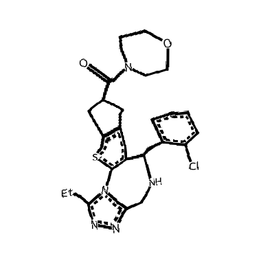 CCc1nnc2n1-c1sc3c(c1C(c1ccccc1Cl)NC2)CC(C(=O)N1CCOCC1)C3